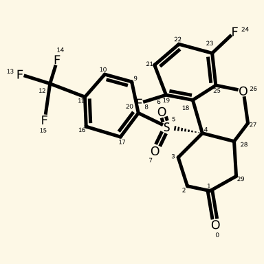 O=C1CC[C@@]2(S(=O)(=O)c3ccc(C(F)(F)F)cc3)c3c(F)ccc(F)c3OCC2C1